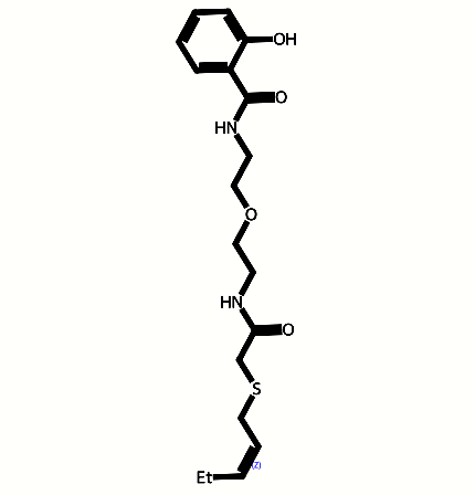 CC/C=C\CSCC(=O)NCCOCCNC(=O)c1ccccc1O